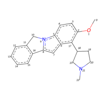 COc1ccc2c(cc3n2Cc2ccccc2-3)c1C1CCN(C)C1